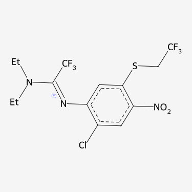 CCN(CC)/C(=N/c1cc(SCC(F)(F)F)c([N+](=O)[O-])cc1Cl)C(F)(F)F